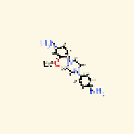 CCOc1cc(N)ccc1N1CCN(c2ccc(N)cc2)CC1